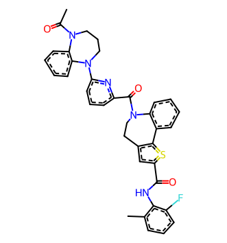 CC(=O)N1CCCN(c2cccc(C(=O)N3CCc4cc(C(=O)Nc5c(C)cccc5F)sc4-c4ccccc43)n2)c2ccccc21